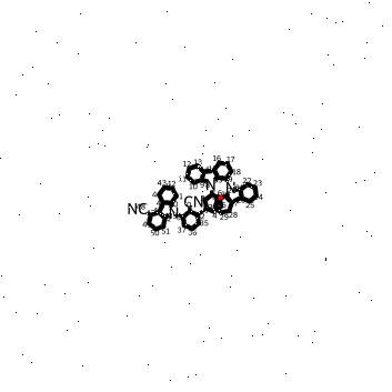 N#Cc1c(-c2cccc(-n3c4ccccc4c4cccc(-n5c6ccccc6c6ccccc65)c43)c2)cccc1-n1c2ccccc2c2c(C#N)cccc21